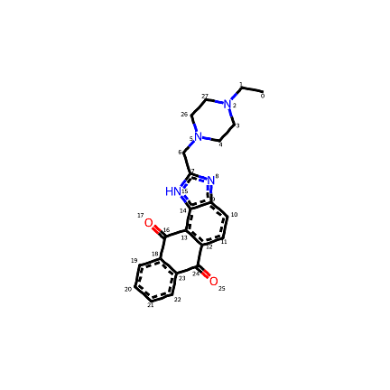 CCN1CCN(Cc2nc3ccc4c(c3[nH]2)C(=O)c2ccccc2C4=O)CC1